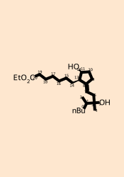 CCCCC(C)C(C)(O)CC=C1CC[C@H](O)[C@@H]1CCCCCCC(=O)OCC